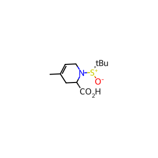 CC1=CCN([S@@+]([O-])C(C)(C)C)C(C(=O)O)C1